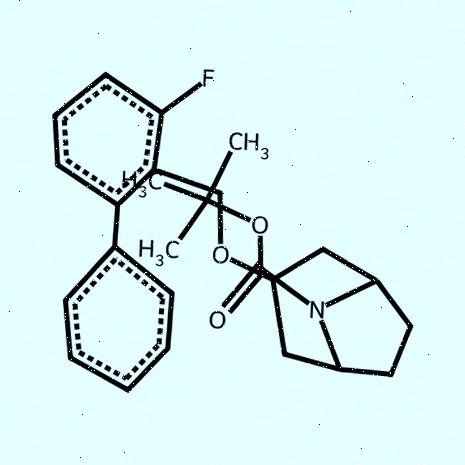 CC(C)(C)OC(=O)N1C2CCC1CC(OCc1c(F)cccc1-c1ccccc1)C2